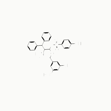 Cc1ccc(S(=O)(=O)OC(OCc2cc(C)cc(C)c2)C(N)C(c2ccccc2)c2ccccc2)cc1